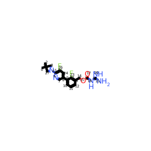 CC1(C)CN(c2ncc(-c3cccc(COC(=O)NC(=N)N)c3F)cc2F)C1